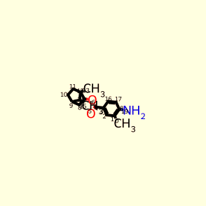 Cc1cc(C(=O)OC2CC3CCC2(C)C3C)ccc1N